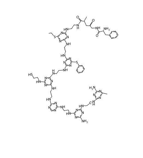 CCSc1nc(NCCNC(=O)C(C)CC(=O)CNC(=O)C(N)Cc2ccccc2)nc(NCCNc2nc(NCCNc3nc(NCCS)nc(NCCNc4ncnc(NCCNc5nc(N)nc(NCCNc6nc(C)nc(N)n6)n5)n4)n3)nc(Sc3ccccc3)n2)n1